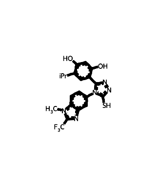 CC(C)c1cc(-c2nnc(S)n2-c2ccc3c(c2)nc(C(F)(F)F)n3C)c(O)cc1O